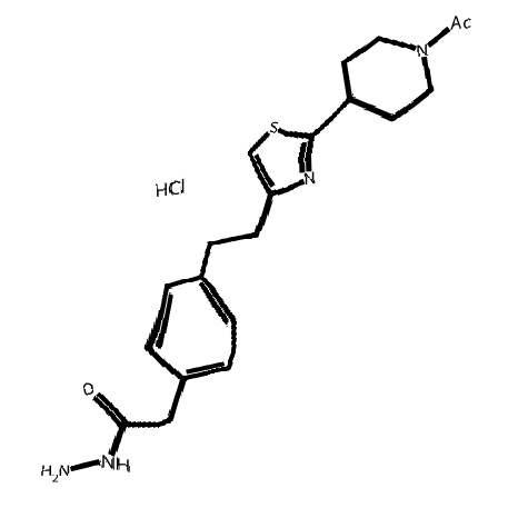 CC(=O)N1CCC(c2nc(CCc3ccc(CC(=O)NN)cc3)cs2)CC1.Cl